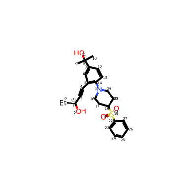 CC[C@H](O)C#Cc1cc(C(C)(C)O)ccc1N1CCC(S(=O)(=O)c2ccccc2)CC1